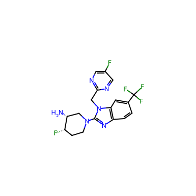 N[C@@H]1CN(c2nc3ccc(C(F)(F)F)cc3n2Cc2ncc(F)cn2)CC[C@@H]1F